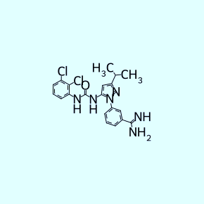 CC(C)c1cc(NC(=O)Nc2cccc(Cl)c2Cl)n(-c2cccc(C(=N)N)c2)n1